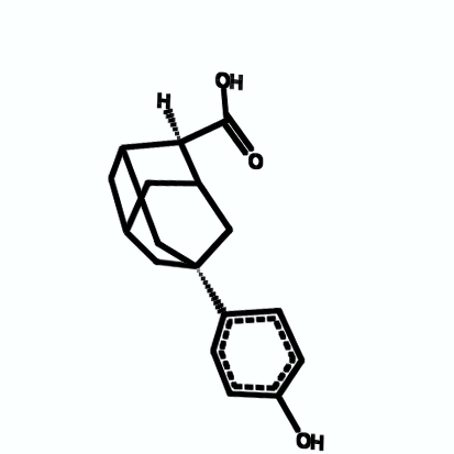 O=C(O)[C@H]1C2CC3CC1C[C@](c1ccc(O)cc1)(C3)C2